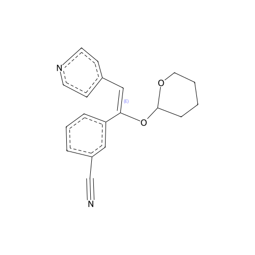 N#Cc1cccc(/C(=C\c2ccncc2)OC2CCCCO2)c1